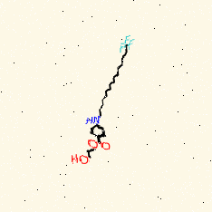 O=C(OCCCO)c1ccc(NCCCCCCCCCCCCCCCC(F)(F)F)cc1